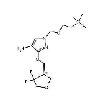 C[Si](C)(C)CCOCn1cc(N)c(OC[C@H]2COCC2(F)F)n1